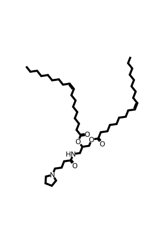 CCCCCCCC/C=C\CCCCCCCC(=O)OCC(CNC(=O)CCCN1CCCC1)OC(=O)CCCCCCC/C=C\CCCCCCCC